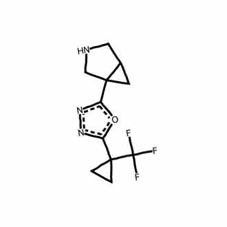 FC(F)(F)C1(c2nnc(C34CNCC3C4)o2)CC1